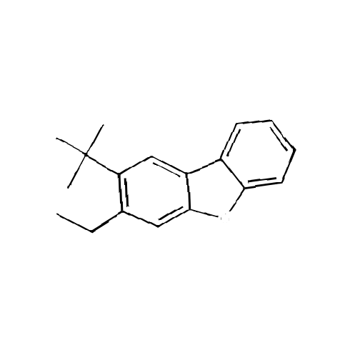 CCc1cc2oc3ccccc3c2cc1C(C)(C)C